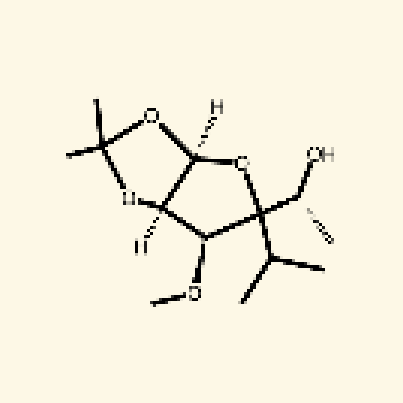 CO[C@H]1[C@H]2OC(C)(C)O[C@H]2OC1(C(C)C)[C@@H](C)O